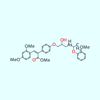 COC(=O)C(=Cc1ccc(OC)cc1OC)c1ccc(OCC(O)C[AsH]C(C)Oc2ccccc2OC)cc1